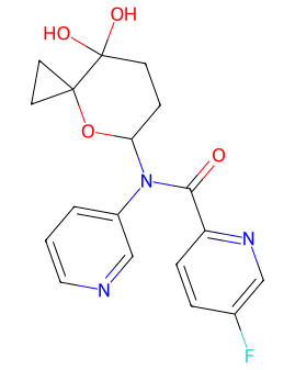 O=C(c1ccc(F)cn1)N(c1cccnc1)C1CCC(O)(O)C2(CC2)O1